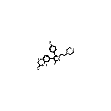 Cc1nn(CCN2CCOCC2)c(-c2ccc(F)cc2)c1-c1ccc2c(c1)NC(=O)CO2